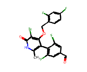 Cc1[nH]c(=O)c(Br)c(OCc2ccc(F)cc2F)c1-c1c(F)cc(C=O)cc1F